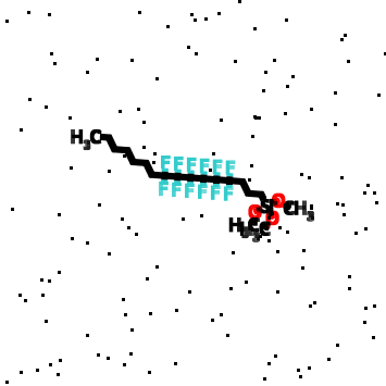 CCCCCCCC(F)(F)C(F)(F)C(F)(F)C(F)(F)C(F)(F)C(F)(F)CCC[Si](OC)(OC)OC